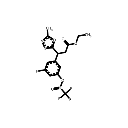 CCOC(=O)CC(c1cc(F)cc(OS(=O)C(F)(F)F)c1)c1nnc(C)o1